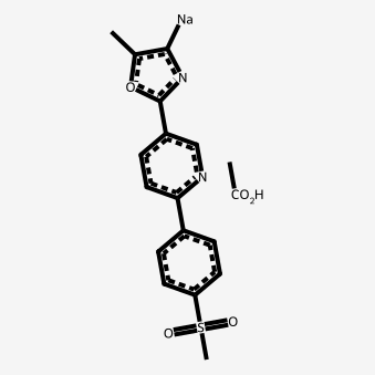 CC(=O)O.Cc1oc(-c2ccc(-c3ccc(S(C)(=O)=O)cc3)nc2)n[c]1[Na]